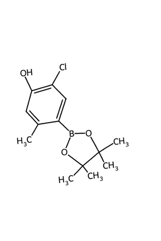 Cc1cc(O)c(Cl)cc1B1OC(C)(C)C(C)(C)O1